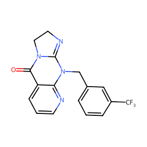 O=C1c2cccnc2N(Cc2cccc(C(F)(F)F)c2)C2=NCCN12